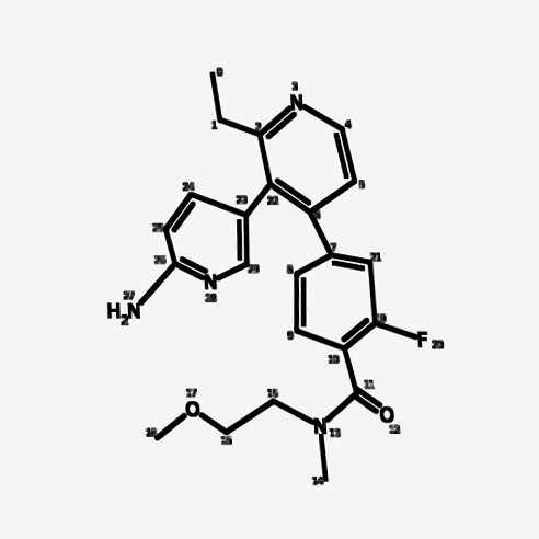 CCc1nccc(-c2ccc(C(=O)N(C)CCOC)c(F)c2)c1-c1ccc(N)nc1